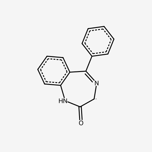 O=C1[CH]N=C(c2ccccc2)c2ccccc2N1